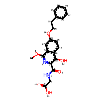 COc1nc(C(=O)NCC(=O)O)c(O)c2ccc(OCCc3ccccc3)cc12